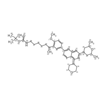 COc1ccc(-c2ccc3c(N4CCOCC4)nc(N4CC(C)OC(C)C4)nc3n2)cc1N(C)CCCCCNC(=O)OC(C)(C)C